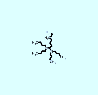 C=C[SiH2]CCCC(N(CCCC)CCCC)N(CCCC)CCCC